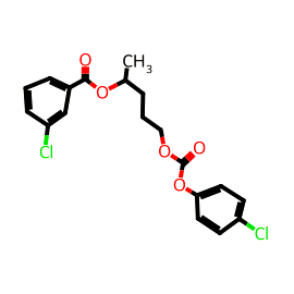 CC(CCCOC(=O)Oc1ccc(Cl)cc1)OC(=O)c1cccc(Cl)c1